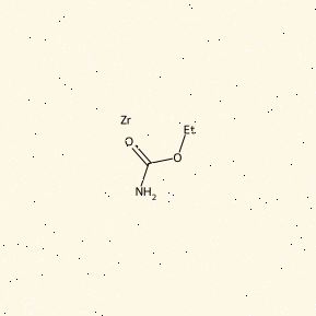 CCOC(N)=O.[Zr]